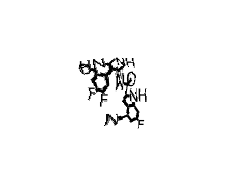 CN(C(=O)c1cc2c(C#N)cc(F)cc2[nH]1)[C@@H]1CNCc2[nH]c(=O)c3cc(F)c(F)cc3c21